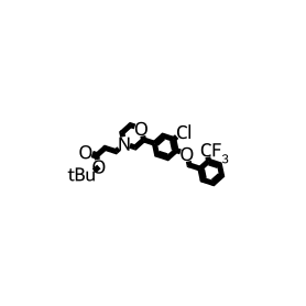 CC(C)(C)OC(=O)CCN1CCOC(c2ccc(OCc3ccccc3C(F)(F)F)c(Cl)c2)C1